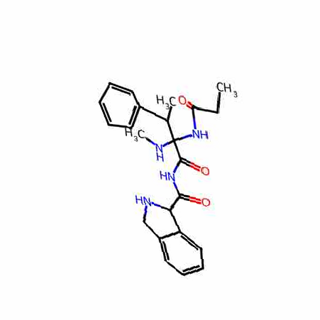 CCC(=O)NC(NC)(C(=O)NC(=O)C1NCc2ccccc21)C(C)c1ccccc1